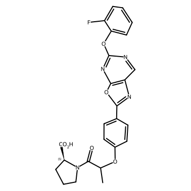 CC(Oc1ccc(-c2nc3cnc(Oc4ccccc4F)nc3o2)cc1)C(=O)N1CCC[C@H]1C(=O)O